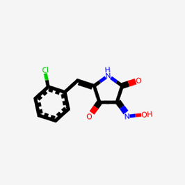 O=C1N/C(=C/c2ccccc2Cl)C(=O)/C1=N/O